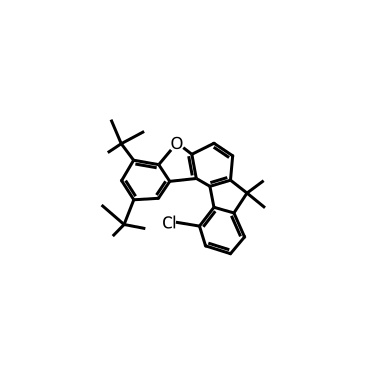 CC(C)(C)c1cc(C(C)(C)C)c2oc3ccc4c(c3c2c1)-c1c(Cl)cccc1C4(C)C